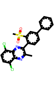 Cc1nc2c(Cl)ccc(Cl)c2nc1-c1ccc(-c2ccccc2)cc1S(C)(=O)=O